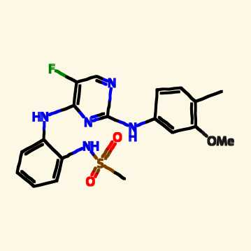 COc1cc(Nc2ncc(F)c(Nc3ccccc3NS(C)(=O)=O)n2)ccc1C